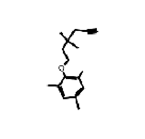 C#CCC(C)(C)CCOc1c(C)cc(C)cc1C